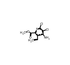 C=Cc1c(C(=O)OC)nc(Cl)c(Cl)c1N